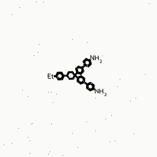 CCc1ccc(C2CCC(c3ccc(-c4ccc(N)cc4)cc3)(c3ccc(-c4ccc(N)cc4)cc3)CC2)cc1